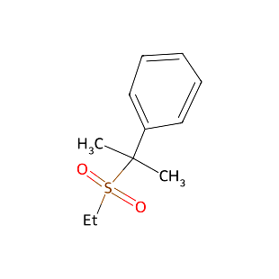 CCS(=O)(=O)C(C)(C)c1ccccc1